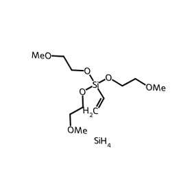 C=C[Si](OCCOC)(OCCOC)OCCOC.[SiH4]